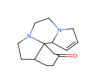 O=C1CCC2CCN3CCN4CC=CC4C23C1